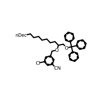 CCCCCCCCCCCCCCCCCC(COC(c1ccccc1)(c1ccccc1)c1ccccc1)OCc1cc(Cl)cc(C#N)c1